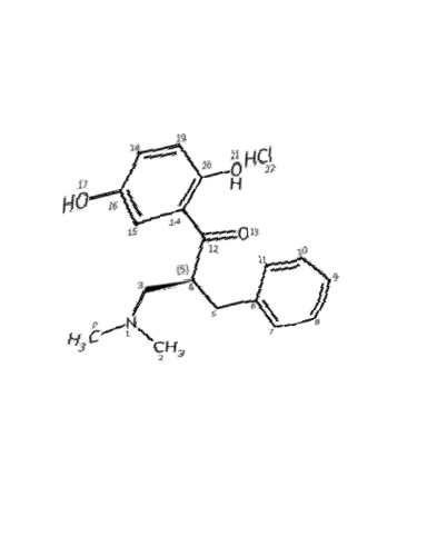 CN(C)C[C@H](Cc1ccccc1)C(=O)c1cc(O)ccc1O.Cl